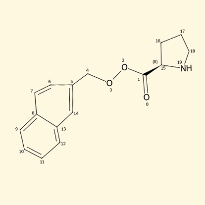 O=C(OOCc1ccc2ccccc2c1)[C@H]1CCCN1